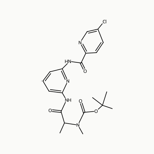 CC(C(=O)Nc1c[c]cc(NC(=O)c2ccc(Cl)cn2)n1)N(C)C(=O)OC(C)(C)C